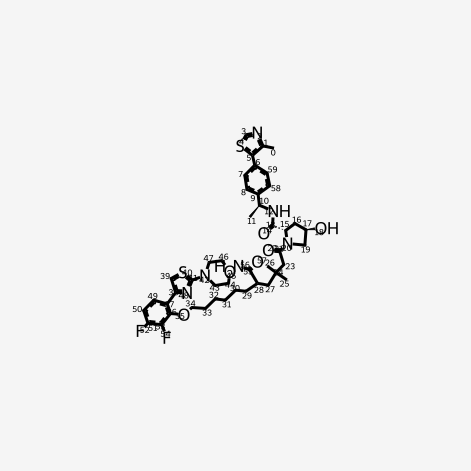 Cc1ncsc1-c1ccc([C@H](C)NC(=O)[C@@H]2C[C@@H](O)CN2C(=O)CC(C)(C)CC(CCCCCCOc2c(-c3csc(N4CCOCC4)n3)ccc(F)c2F)C(N)=O)cc1